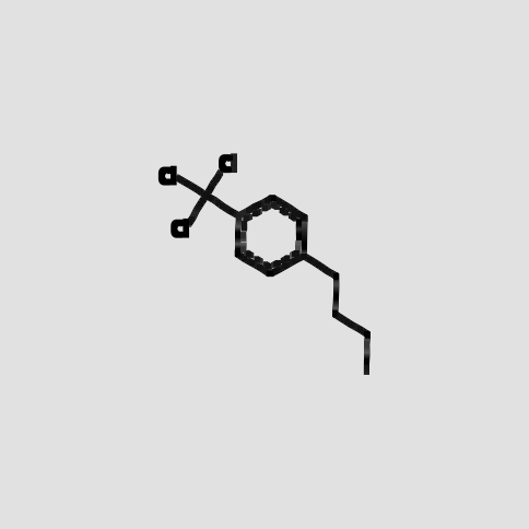 CCCCc1ccc(C(Cl)(Cl)Cl)cc1